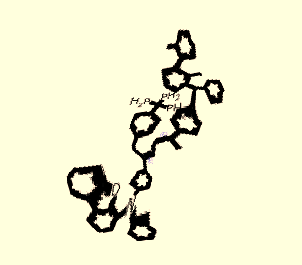 C/C(=C\C=C(/Cc1ccc(C(P)(P)P)cc1)c1ccc(N(c2ccccc2)c2cccc3c2oc2ccccc23)cc1)c1ccc(C(c2ccccc2)c2cccc(-c3ccccc3C)c2C)cc1